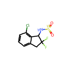 O=[SH](=O)NC1c2c(Cl)cccc2CC1(F)F